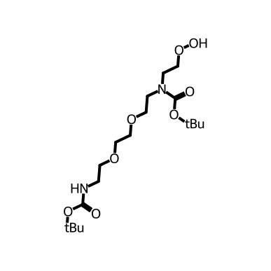 CC(C)(C)OC(=O)NCCOCCOCCN(CCOO)C(=O)OC(C)(C)C